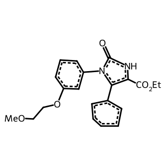 CCOC(=O)c1[nH]c(=O)n(-c2cccc(OCCOC)c2)c1-c1ccccc1